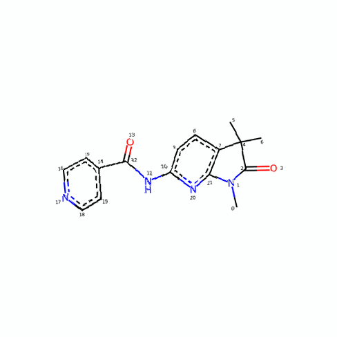 CN1C(=O)C(C)(C)c2ccc(NC(=O)c3ccncc3)nc21